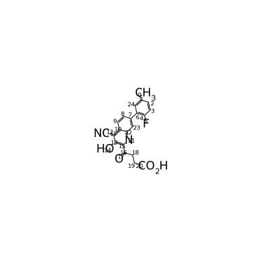 Cc1ccc(F)c(-c2ccc3c(C#N)c(O)c(C(=O)CCC(=O)O)nc3c2)c1